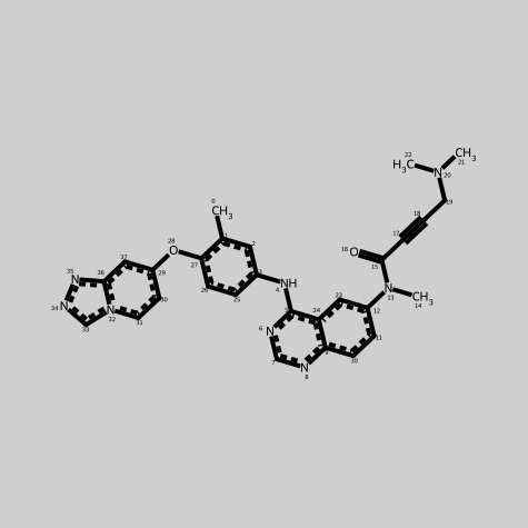 Cc1cc(Nc2ncnc3ccc(N(C)C(=O)C#CCN(C)C)cc23)ccc1Oc1ccn2cnnc2c1